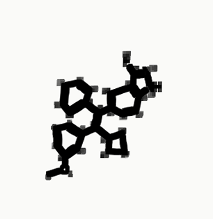 COc1cccc(/C(=C(\c2[c]cccc2)c2ccc3[nH]nc(F)c3c2)C2CCC2)c1